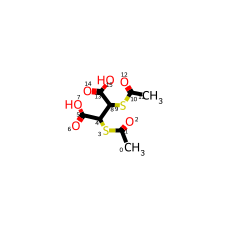 CC(=O)SC(C(=O)O)C(SC(C)=O)C(=O)O